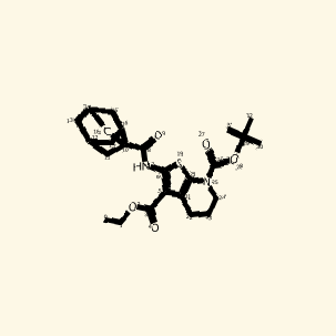 CCOC(=O)c1c(NC(=O)C23CC4CC(CC2C4)C3)sc2c1CCCN2C(=O)OC(C)(C)C